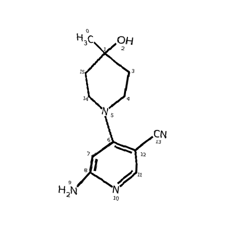 CC1(O)CCN(c2cc(N)ncc2C#N)CC1